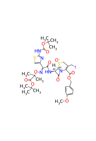 COc1ccc(COC(=O)C2=C(CI)C[S+]([O-])[C@@H]3[C@H](NC(=O)C(=NOC(C)(C)C(=O)OC(C)(C)C)c4csc(NC(=O)OC(C)(C)C)n4)C(=O)N23)cc1